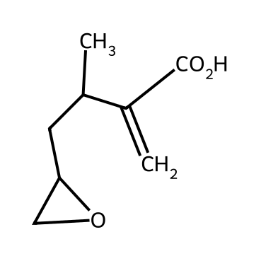 C=C(C(=O)O)C(C)CC1CO1